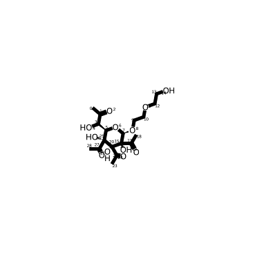 CC(=O)C(O)[C@H]1O[C@H](OCCOCCO)[C@@](O)(C(C)=O)[C@](O)(C(C)=O)[C@@]1(O)C(C)=O